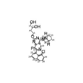 OCC(O)CCOc1nc(N2C[C@H]3CC[C@@H](C2)N3)c2cnc(-c3cccc4cccc(Cl)c34)c(F)c2n1